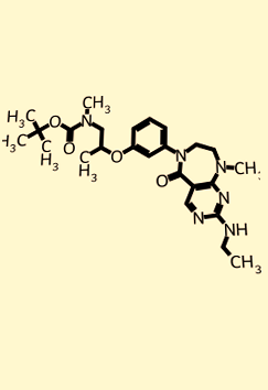 CCNc1ncc2c(n1)N(C)CCN(c1cccc(OC(C)CN(C)C(=O)OC(C)(C)C)c1)C2=O